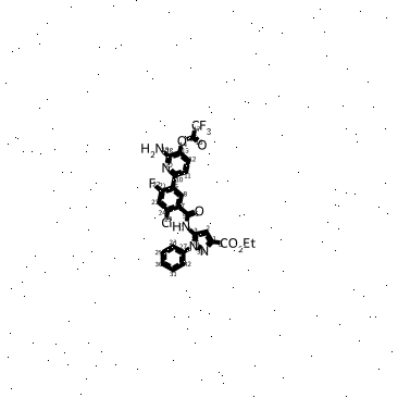 CCOC(=O)c1cc(NC(=O)c2cc(-c3ccc(OC(=O)C(F)(F)F)c(N)n3)c(F)cc2Cl)n(-c2ccccc2)n1